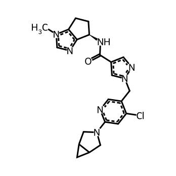 Cn1cnc2c1CC[C@H]2NC(=O)c1cnn(Cc2cnc(N3CC4CC4C3)cc2Cl)c1